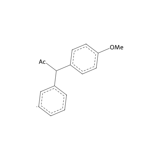 COc1ccc(C(C(C)=O)c2c[c]ccc2)cc1